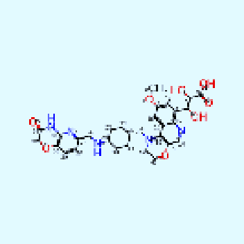 COc1cc(C(O)C(O)C(=O)O)c2ncc3c(c2c1)N(C[C@H]1CC[C@H](NCc2ccc4c(n2)NC(=O)CO4)CC1)CCO3